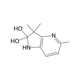 Cc1ccc2c(n1)C(C)(C)C(O)(O)N2